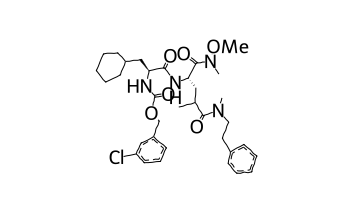 CON(C)C(=O)[C@H](CC(C)C(=O)N(C)CCc1ccccc1)NC(=O)[C@H](CC1CCCCC1)NC(=O)OCc1cccc(Cl)c1